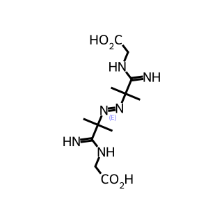 CC(C)(/N=N/C(C)(C)C(=N)NCC(=O)O)C(=N)NCC(=O)O